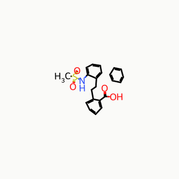 CS(=O)(=O)Nc1ccccc1CCc1ccccc1C(=O)O.c1ccccc1